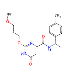 CC(C)OCCCOc1nc(C(=O)NC(C)c2ccc(C(F)(F)F)cc2)cc(=O)[nH]1